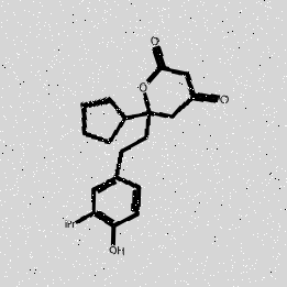 CC(C)c1cc(CCC2(C3CCCC3)CC(=O)CC(=O)O2)ccc1O